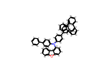 c1ccc(-c2ccc(N(c3ccc(-c4ccc5c(c4)-c4c6cccc4-c4cccc-5c4-c4ccccc4-6)cc3)c3cccc4oc5ccccc5c34)cc2)cc1